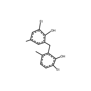 CCc1cc(C)cc(Cc2c(C)ccc(CC)c2O)c1O